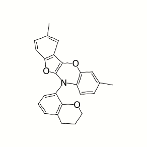 Cc1ccc2c(c1)Oc1c(oc3ccc(C)cc13)N2c1cccc2c1OCCC2